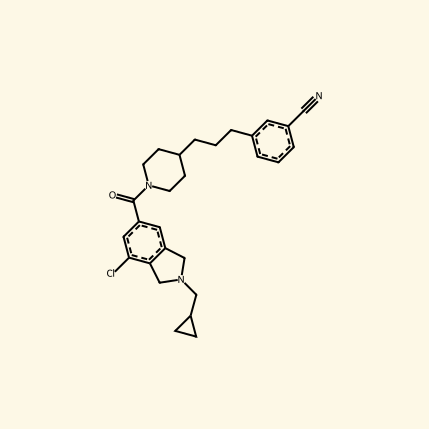 N#Cc1cccc(CCCC2CCN(C(=O)c3cc(Cl)c4c(c3)CN(CC3CC3)C4)CC2)c1